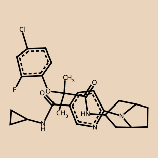 CC(C)(Oc1ccc(Cl)cc1F)C(=O)NC1CC2CCC(C1)N2c1ccc(C(=O)NC2CC2)cn1